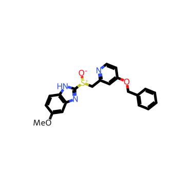 COc1ccc2[nH]c([S+]([O-])Cc3cc(OCc4ccccc4)ccn3)nc2c1